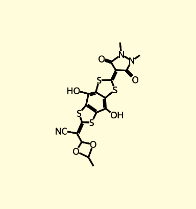 CC1OC(C(C#N)=C2Sc3c(O)c4c(c(O)c3S2)SC(=C2C(=O)N(C)N(C)C2=O)S4)O1